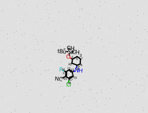 CC(C)(C)[Si](C)(C)OC1CCCC(Nc2cc(F)c(C#N)c(Cl)c2)C1